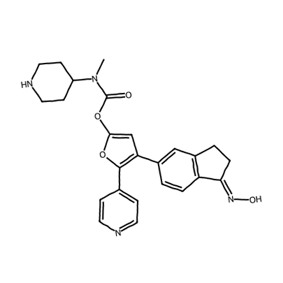 CN(C(=O)Oc1cc(-c2ccc3c(c2)CCC3=NO)c(-c2ccncc2)o1)C1CCNCC1